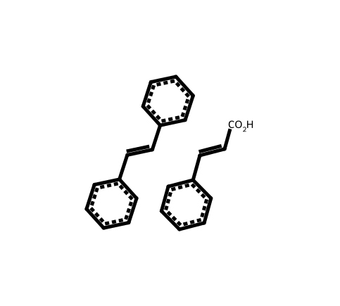 C(=Cc1ccccc1)c1ccccc1.O=C(O)C=Cc1ccccc1